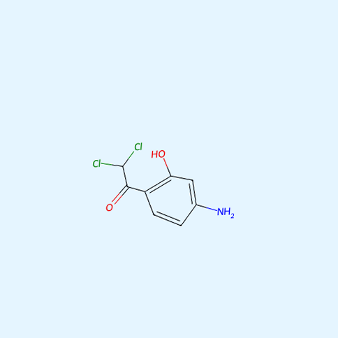 Nc1ccc(C(=O)C(Cl)Cl)c(O)c1